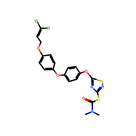 CN(C)C(=O)Sc1nsc(Oc2ccc(Oc3ccc(OCC=C(Cl)Cl)cc3)cc2)n1